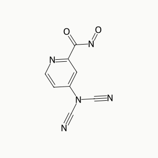 N#CN(C#N)c1ccnc(C(=O)N=O)c1